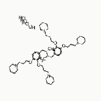 C[C@H](Cc1ccc(OCCCN2CCCCC2)c(OCCCN2CCCCC2)c1)[C@@H](C)Cc1ccc(OCCCN2CCCCC2)c(OCCCN2CCCCC2)c1.Cl.Cl.Cl.Cl